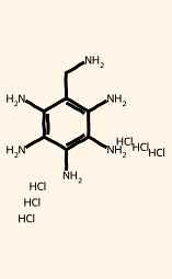 Cl.Cl.Cl.Cl.Cl.Cl.NCc1c(N)c(N)c(N)c(N)c1N